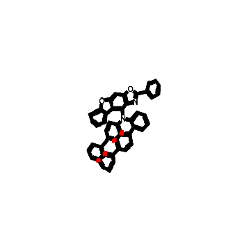 c1ccc(-c2ccc(-c3ccccc3N(c3ccc(-c4ccccc4)cc3)c3c4nc(-c5ccccc5)oc4cc4oc5ccccc5c34)cc2)cc1